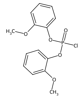 COc1ccccc1OP(=O)(Cl)Oc1ccccc1OC